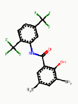 Bc1cc(B)c(O)c(C(=O)Nc2cc(C(F)(F)F)ccc2C(F)(F)F)c1